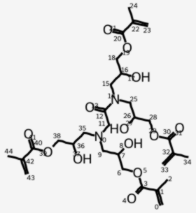 C=C(C)C(=O)OCC(O)CN(CC(=O)N(CC(O)COC(=O)C(=C)C)CC(O)COC(=O)C(=C)C)CC(O)COC(=O)C(=C)C